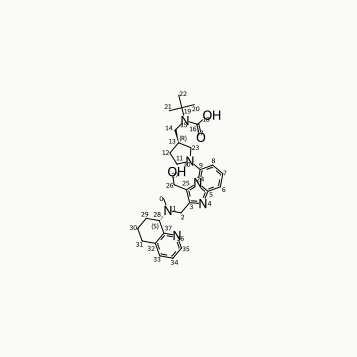 CN(Cc1nc2cccc(N3CC[C@@H](CN(C(=O)O)C(C)(C)C)C3)n2c1CO)[C@H]1CCCc2cccnc21